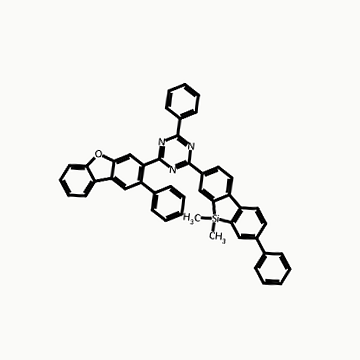 C[Si]1(C)c2cc(-c3ccccc3)ccc2-c2ccc(-c3nc(-c4ccccc4)nc(-c4cc5oc6ccccc6c5cc4-c4ccccc4)n3)cc21